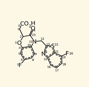 O=C(O)CC1Oc2cc(F)ccc2N(Cc2nc3cccc(F)c3s2)C1=O